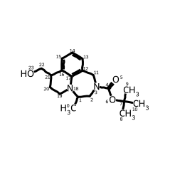 CC1CN(C(=O)OC(C)(C)C)Cc2cccc3c2N1CCC3CO